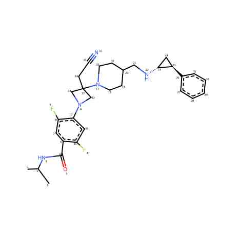 CC(C)NC(=O)c1cc(F)c(N2CC(CC#N)(N3CCC(CN[C@@H]4C[C@H]4c4ccccc4)CC3)C2)cc1F